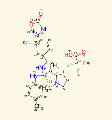 CC(C1CCCN1C)C1(NCc2ccc(-c3noc(=O)[nH]3)c(F)c2)Nc2ccc(C(F)(F)F)cc2S1.O=C(O)C(F)(F)F